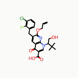 C=CCOc1nc2c(cc1Cc1cccc(Cl)c1F)c(=O)c(C(=O)O)cn2C(CO)C(C)(C)C